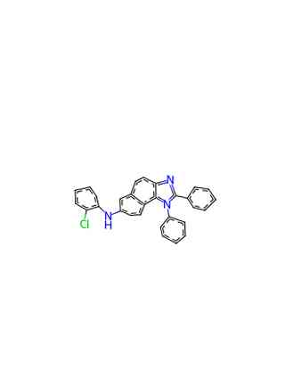 Clc1ccccc1Nc1ccc2c(ccc3nc(-c4ccccc4)n(-c4ccccc4)c32)c1